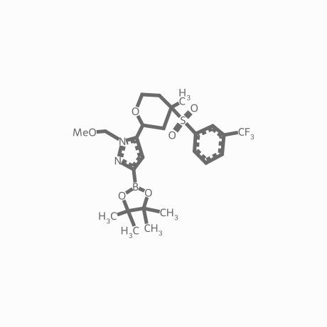 COCn1nc(B2OC(C)(C)C(C)(C)O2)cc1C1CC(C)(S(=O)(=O)c2cccc(C(F)(F)F)c2)CCO1